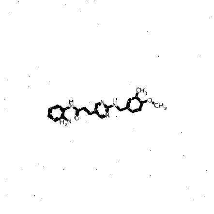 COC1C=CC(CNc2ncc(/C=C/C(=O)Nc3ccccc3N)cn2)=CC1C